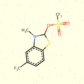 CN1c2cc(C(F)(F)F)ccc2SC1OS(=O)(=O)C(F)(F)F